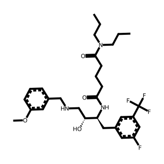 CCCN(CCC)C(=O)CCCC(=O)N[C@@H](Cc1cc(F)cc(C(F)(F)F)c1)[C@H](O)CNCc1cccc(OC)c1